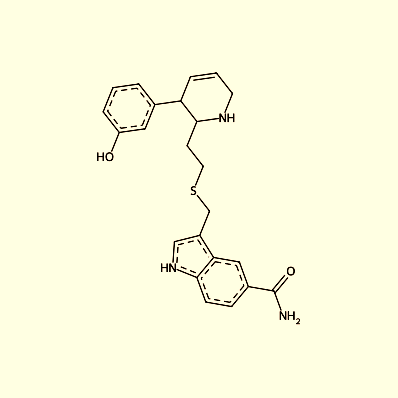 NC(=O)c1ccc2[nH]cc(CSCCC3NCC=CC3c3cccc(O)c3)c2c1